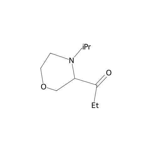 CCC(=O)C1COCCN1C(C)C